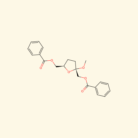 CO[C@@]1(COC(=O)c2ccccc2)CC[C@H](COC(=O)c2ccccc2)O1